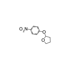 O=[N+]([O-])c1ccc(OC2CCCO2)cc1